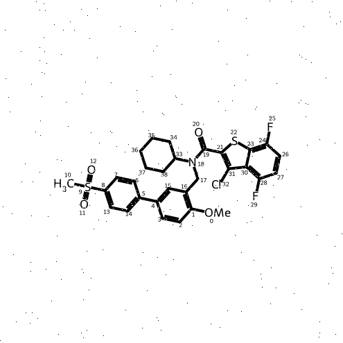 COc1ccc(-c2ccc(S(C)(=O)=O)cc2)cc1CN(C(=O)c1sc2c(F)ccc(F)c2c1Cl)C1CCCCC1